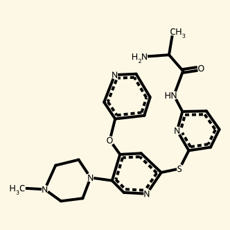 CC(N)C(=O)Nc1cccc(Sc2cc(Oc3cccnc3)c(N3CCN(C)CC3)cn2)n1